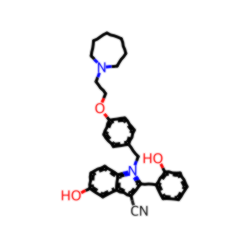 N#Cc1c(-c2ccccc2O)n(Cc2ccc(OCCN3CCCCCC3)cc2)c2ccc(O)cc12